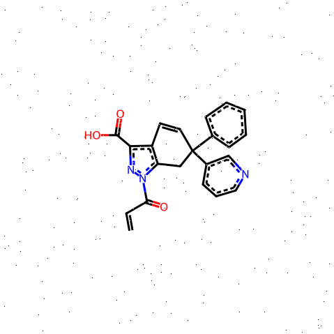 C=CC(=O)n1nc(C(=O)O)c2c1CC(c1ccccc1)(c1cccnc1)C=C2